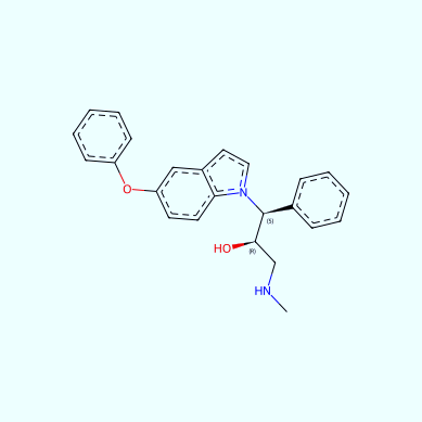 CNC[C@@H](O)[C@H](c1ccccc1)n1ccc2cc(Oc3ccccc3)ccc21